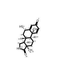 C[C@]12C=CC(=O)C=C1[C@@H](S)C[C@@H]1[C@@H]2CC[C@]2(C)C(=O)NC[C@@H]12